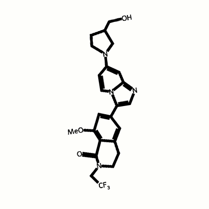 COc1cc(-c2cnc3cc(N4CCC(CO)C4)ccn23)cc2c1C(=O)N(CC(F)(F)F)CC2